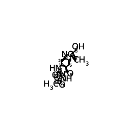 CN(CCO)c1cc2c(=O)n(NS(C)(=O)=O)c(=O)[nH]c2cc1[N+](=O)[O-]